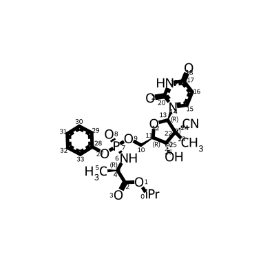 CC(C)OC(=O)[C@@H](C)NP(=O)(OC[C@H]1O[C@@H](n2ccc(=O)[nH]c2=O)[C@](C)(C#N)[C@@H]1O)Oc1ccccc1